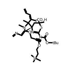 C#CCO/C(=C/N=C)N(C)C(C)(/C(F)=C\C=C)[C@]1(C)CC(C)(C(=O)O)SC(N(COCC[Si](C)(C)C)C(=O)OC(C)(C)C)=N1